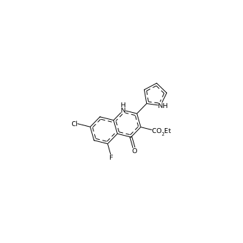 CCOC(=O)c1c(-c2ccc[nH]2)[nH]c2cc(Cl)cc(F)c2c1=O